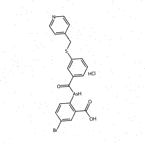 Cl.O=C([AsH]c1ccc(Br)cc1C(=O)O)c1cccc(SCc2ccncc2)c1